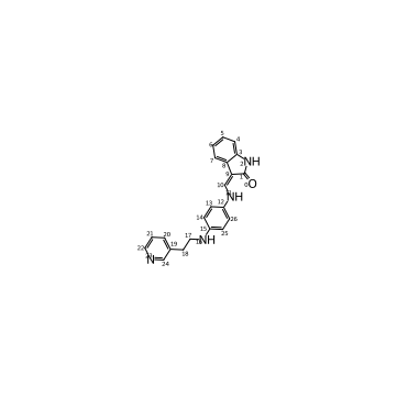 O=C1Nc2ccccc2C1=CNc1ccc(NCCc2cccnc2)cc1